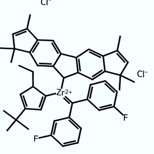 CCC1C=C(C(C)(C)C)C=[C]1[Zr+2](=[C](c1cccc(F)c1)c1cccc(F)c1)[CH]1c2cc3c(cc2-c2cc4c(cc21)C(C)(C)C=C4C)C(C)=CC3(C)C.[Cl-].[Cl-]